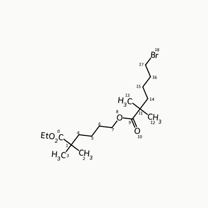 CCOC(=O)C(C)(C)CCCCOC(=O)C(C)(C)CCCCBr